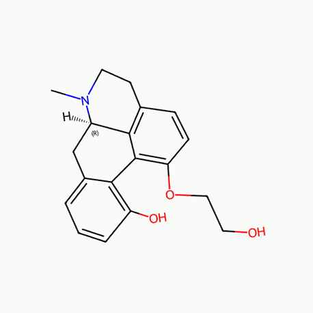 CN1CCc2ccc(OCCO)c3c2[C@H]1Cc1cccc(O)c1-3